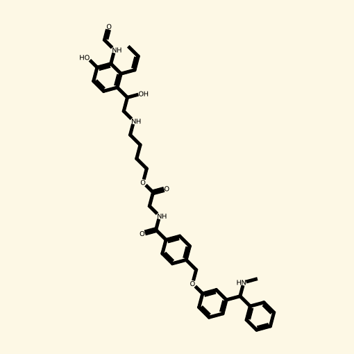 C/C=C\c1c(C(O)CNCCCCOC(=O)CNC(=O)c2ccc(COc3cccc(C(NC)c4ccccc4)c3)cc2)ccc(O)c1NC=O